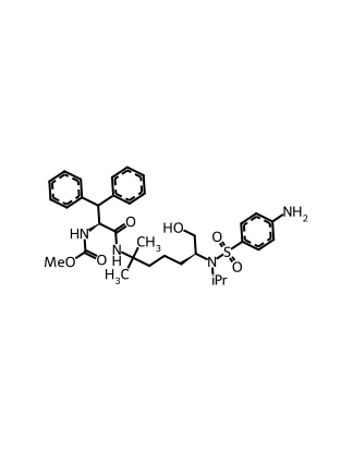 COC(=O)N[C@H](C(=O)NC(C)(C)CCC[C@@H](CO)N(C(C)C)S(=O)(=O)c1ccc(N)cc1)C(c1ccccc1)c1ccccc1